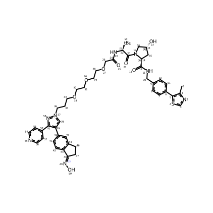 Cc1ncsc1-c1ccc(CNC(=O)[C@@H]2C[C@@H](O)CN2C(=O)[C@@H](NC(=O)COCCOCCOCCCn2cc(-c3ccc4c(c3)CC/C4=N\O)c(-c3ccncc3)n2)C(C)(C)C)cc1